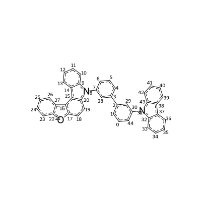 c1cc(-c2cccc(-n3c4ccccc4c4c5c(ccc43)oc3ccccc35)c2)cc(-n2c3ccccc3c3ccccc32)c1